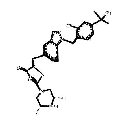 C[C@@H]1CN(C2=NC(=O)/C(=C/c3ccc4c(cnn4Cc4ccc(C(C)(C)O)cc4Cl)c3)S2)C[C@H](C)N1